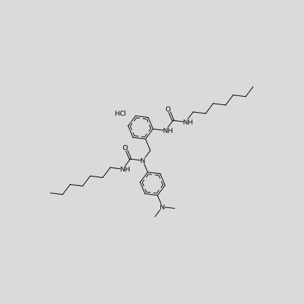 CCCCCCCNC(=O)Nc1ccccc1CN(C(=O)NCCCCCCC)c1ccc(N(C)C)cc1.Cl